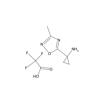 Cc1noc(C2(N)CC2)n1.O=C(O)C(F)(F)F